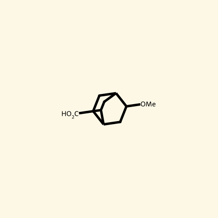 COC1CC2CCC1CC2C(=O)O